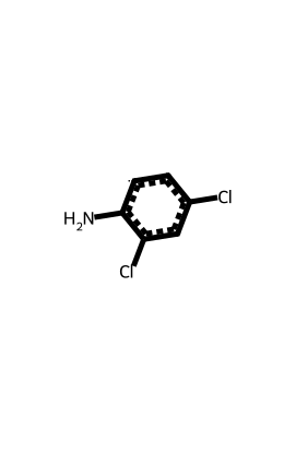 Nc1[c]cc(Cl)cc1Cl